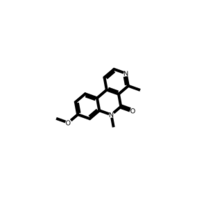 COc1ccc2c3ccnc(C)c3c(=O)n(C)c2c1